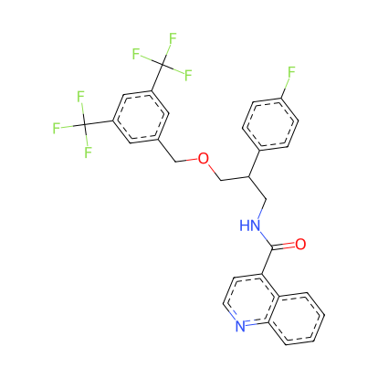 O=C(NCC(COCc1cc(C(F)(F)F)cc(C(F)(F)F)c1)c1ccc(F)cc1)c1ccnc2ccccc12